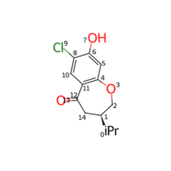 CC(C)[C@@H]1COc2cc(O)c(Cl)cc2C(=O)C1